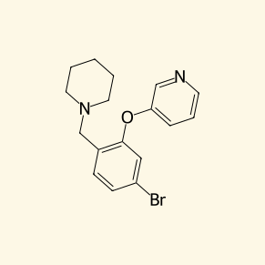 Brc1ccc(CN2CCCCC2)c(Oc2cccnc2)c1